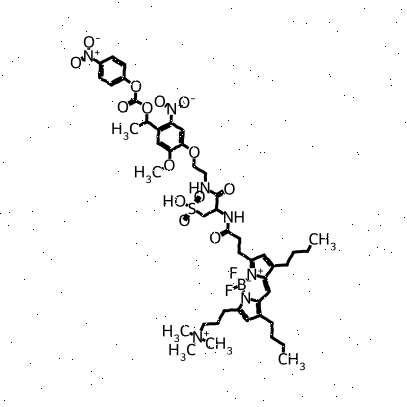 CCCCC1=CC(CCC(=O)NC(CS(=O)(=O)O)C(=O)NCCOc2cc([N+](=O)[O-])c(C(C)OC(=O)Oc3ccc([N+](=O)[O-])cc3)cc2OC)=[N+]2C1=Cc1c(CCCC)cc(CCC[N+](C)(C)C)n1[B-]2(F)F